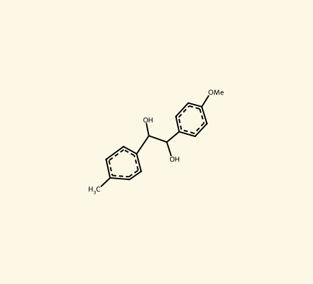 COc1ccc(C(O)C(O)c2ccc(C)cc2)cc1